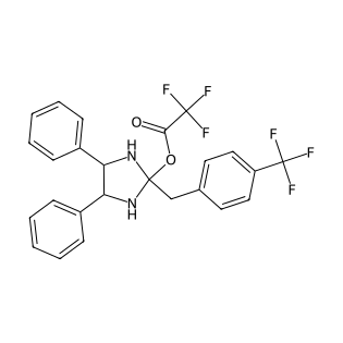 O=C(OC1(Cc2ccc(C(F)(F)F)cc2)NC(c2ccccc2)C(c2ccccc2)N1)C(F)(F)F